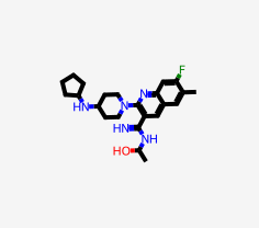 Cc1cc2cc(C(=N)NC(C)O)c(N3CCC(NC4CCCC4)CC3)nc2cc1F